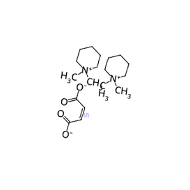 C[N+]1(C)CCCCC1.C[N+]1(C)CCCCC1.O=C([O-])/C=C\C(=O)[O-]